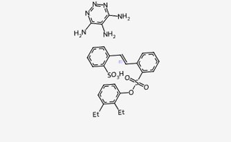 CCc1cccc(OS(=O)(=O)c2ccccc2/C=C/c2ccccc2S(=O)(=O)O)c1CC.Nc1nnnc(N)c1N